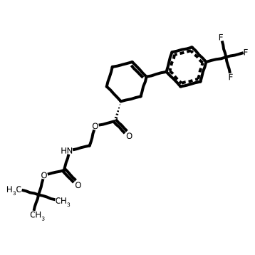 CC(C)(C)OC(=O)NCOC(=O)[C@@H]1CCC=C(c2ccc(C(F)(F)F)cc2)C1